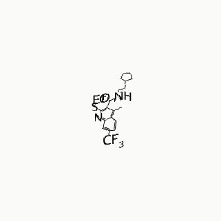 CCSc1nc2cc(C(F)(F)F)ccc2c(C)c1C(=O)NCCC1CCCC1